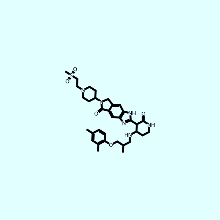 Cc1ccc(OCC(C)CNC2CCNC(=O)C2c2nc3cc4c(cc3[nH]2)CN(C2CCN(CCS(C)(=O)=O)CC2)C4=O)c(C)c1